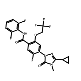 Cn1c(C2CC2)nn(-c2cc(OCC(F)(F)F)c(C(=O)Nc3c(F)cccc3F)cc2F)c1=O